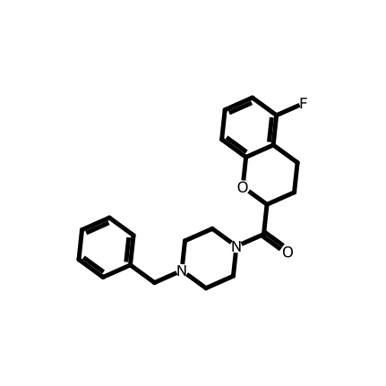 O=C(C1CCc2c(F)cccc2O1)N1CCN(Cc2ccccc2)CC1